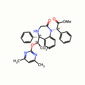 COC(=O)[C@H](c1ccccc1)N1C(=O)CN[C@](c2ccccc2)([C@H](Oc2nc(C)cc(C)n2)C(=O)O)c2ccccc21